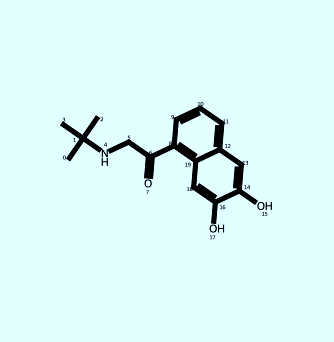 CC(C)(C)NCC(=O)c1cccc2cc(O)c(O)cc12